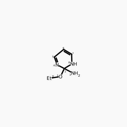 CCOC1(N)N=CC=CN1